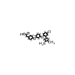 Cc1nn(-c2cc(Cl)ccc2Oc2cccc(Oc3ccc(CC(=O)O)cc3)c2)nc1C